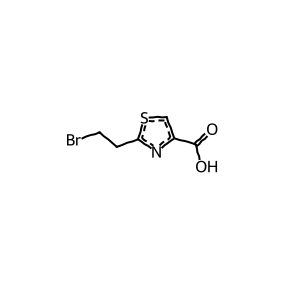 O=C(O)c1csc(CCBr)n1